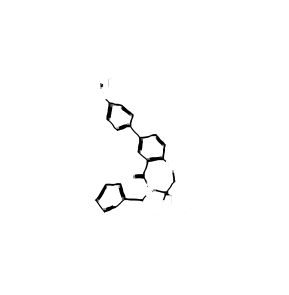 BC1(B)COc2ccc(-c3ccc(OC(F)(F)F)cc3)cc2C(=O)N1Cc1ccccc1